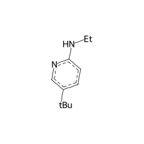 CCNc1ccc(C(C)(C)C)cn1